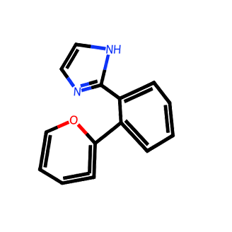 C1=CC=COC=1c1ccccc1-c1ncc[nH]1